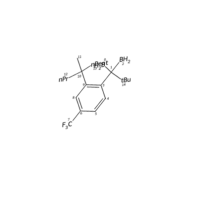 BC(B)(c1ccc(C(F)(F)F)cc1C(C)(CCC)CCCCC)C(C)(C)C